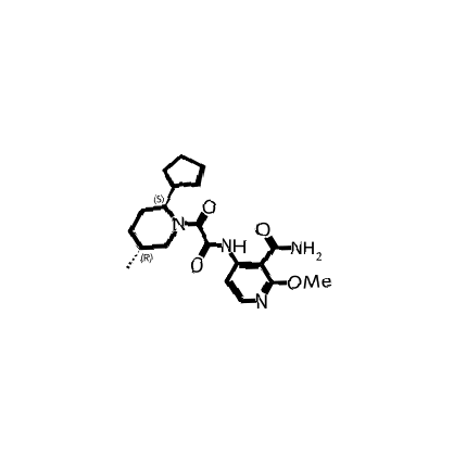 COc1nccc(NC(=O)C(=O)N2C[C@H](C)CC[C@H]2C2CCCC2)c1C(N)=O